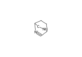 C1#[N+]C2CCC1NC2